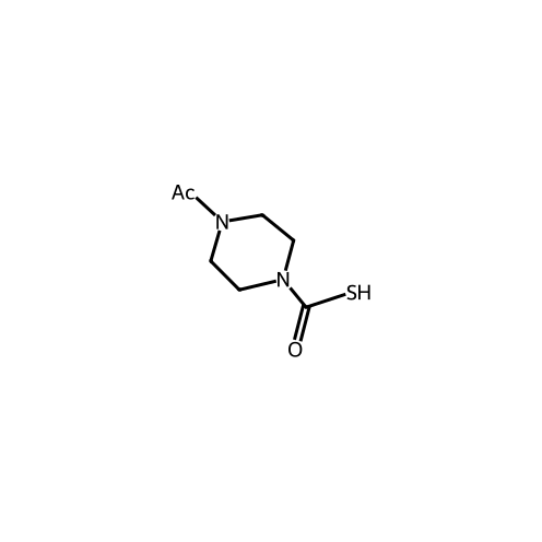 CC(=O)N1CCN(C(=O)S)CC1